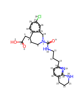 O=C(O)CC1CCN(C(=O)NCCCc2ccc3c(n2)NCCC3)Cc2cc(Cl)ccc21